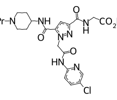 CC(C)N1CCC(NC(=O)c2cc(C(=O)NCC(=O)O)nn2CC(=O)Nc2ccc(Cl)cn2)CC1